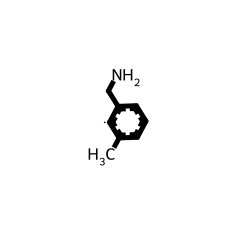 Cc1[c]c(CN)ccc1